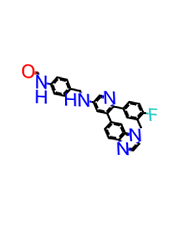 Cc1cc(-c2ncc(NCc3ccc(NC=O)cc3)cc2-c2ccc3nccnc3c2)ccc1F